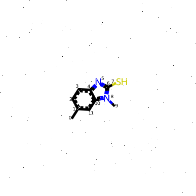 Cc1ccc2nc(S)n(C)c2c1